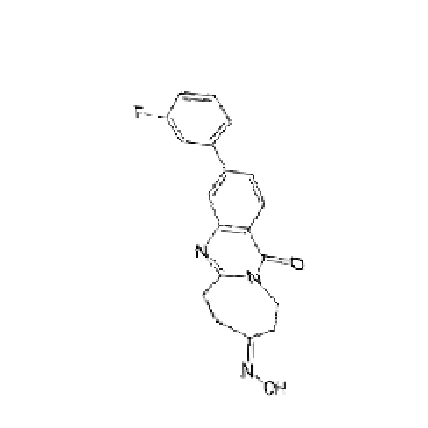 O=c1c2ccc(-c3cccc(F)c3)cc2nc2n1CC/C(=N\O)CC2